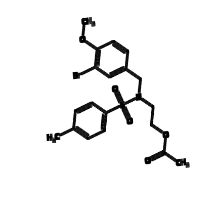 COc1ccc(CN(CCOC(C)=O)S(=O)(=O)c2ccc(C)cc2)cc1Br